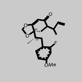 C=CC(C)C1C[C@]2([C@@H](C)Cc3ccc(OC)cc3F)OCOC2=CC1=O